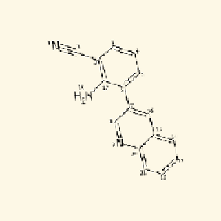 N#Cc1cccc(-c2cnc3ccccc3c2)c1N